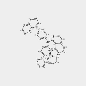 c1ccc(-c2ccc(N(c3ccc(-c4cccc5ccccc45)cc3)c3cccc4ncc5c6ccccc6oc5c34)cc2)cc1